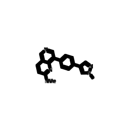 CNc1ccc2cncc(-c3ccc(-c4cnn(C)c4)cc3)c2n1